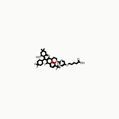 CC1(C)Cc2nc(C3CCN(c4ncc(OCCCCC(=O)O)cn4)CC3)c(C(F)c3ccc(C(F)(F)F)cc3)c(C3CCC(F)(F)CC3)c2[C@@H](O)C1